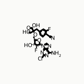 N#Cc1ccc(CC(CO)(OC[C@H]2O[C@@H](n3cnc4c(N)nc(Cl)nc43)[C@@H](F)[C@@H]2O)C(=O)O)cc1F